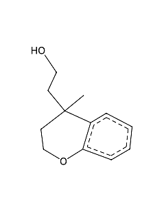 CC1(CCO)CCOc2ccccc21